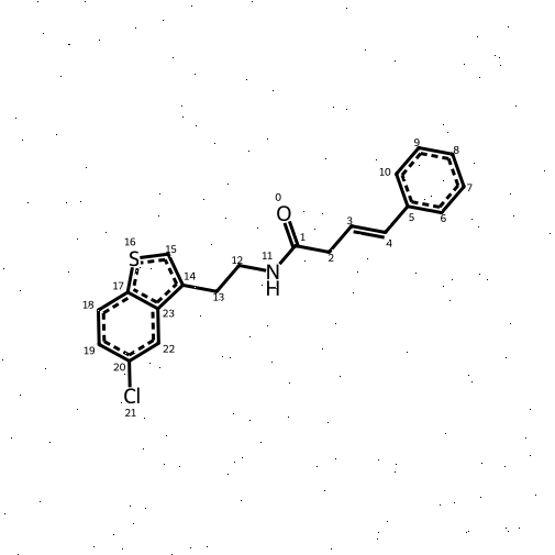 O=C(CC=Cc1ccccc1)NCCc1csc2ccc(Cl)cc12